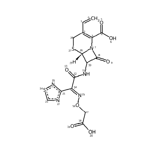 C=CC1=C(C(=O)O)N2C(=O)C(NC(=O)C(=NOCC(=O)O)c3ncsn3)[C@@H]2SC1